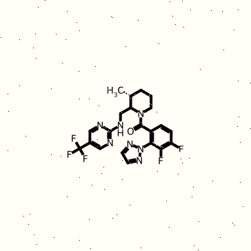 C[C@@H]1CCCN(C(=O)c2ccc(F)c(F)c2-n2nccn2)C1CNc1ncc(C(F)(F)F)cn1